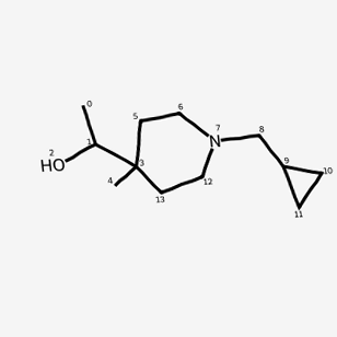 CC(O)C1(C)CCN(CC2CC2)CC1